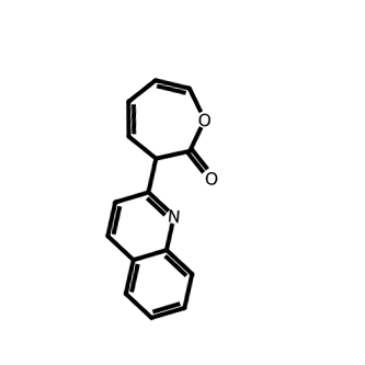 O=C1OC=CC=CC1c1ccc2ccccc2n1